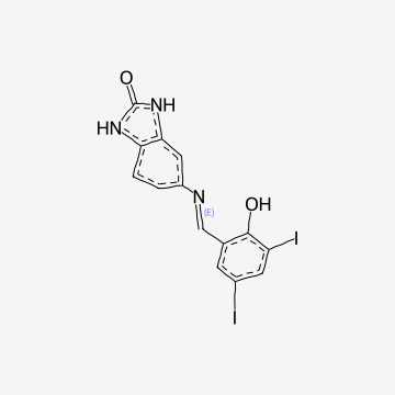 O=c1[nH]c2ccc(/N=C/c3cc(I)cc(I)c3O)cc2[nH]1